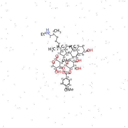 CCNC[C@H](C)CCC[C@@H](C)[C@H]1[C@@H](O[C@@H]2OC[C@H](O)[C@H](O[C@@H]3OC[C@@H](O)[C@H](O)[C@H]3OC(=O)c3ccc(OC)cc3)[C@H]2OC(C)=O)CC2C3CC=C4C[C@@H](O)CC[C@]4(C)C3CC[C@@]21C